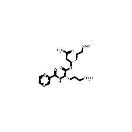 CCCCCCCCCCCCC[C@@H](CC(N)=O)OC(=O)[C@H](CCCC(=O)O)NC(=O)c1cnccn1